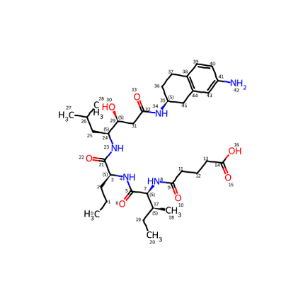 CCC[C@H](NC(=O)[C@@H](NC(=O)CCCC(=O)O)[C@@H](C)CC)C(=O)N[C@@H](CC(C)C)[C@@H](O)CC(=O)N[C@H]1CCc2ccc(N)cc2C1